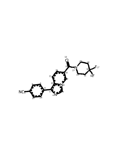 N#Cc1ccc(-c2ncn3cc(C(=O)N4CCC(F)(F)CC4)ccc23)cc1